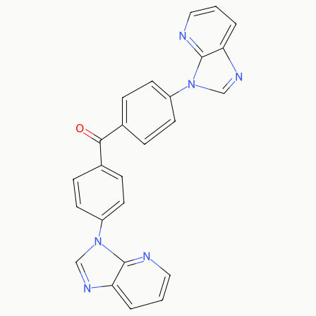 O=C(c1ccc(-n2cnc3cccnc32)cc1)c1ccc(-n2cnc3cccnc32)cc1